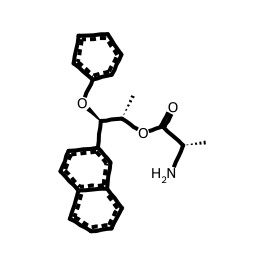 C[C@H](N)C(=O)O[C@@H](C)[C@H](Oc1ccccc1)c1ccc2ccccc2c1